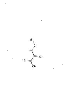 CCCCC[N]C(=O)C(O)=S